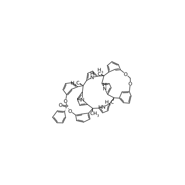 C[C@]12c3cccc(c3)OCOc3cccc(c3)[C@](C)(c3ccc1[nH]3)c1ccc([nH]1)[C@@]1(C)c3cccc(c3)O[P@@](=O)(c3ccccc3)Oc3cccc(c3)[C@@](C)(c3ccc2[nH]3)c2ccc1[nH]2